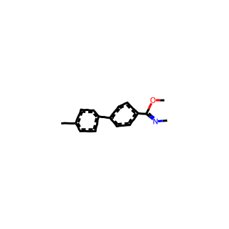 C/N=C(\OC)c1ccc(-c2ccc(C)cc2)cc1